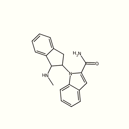 CNC1c2ccccc2CC1n1c(C(N)=O)cc2ccccc21